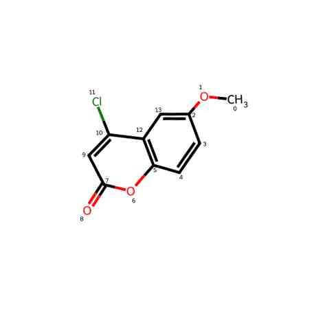 COc1ccc2oc(=O)cc(Cl)c2c1